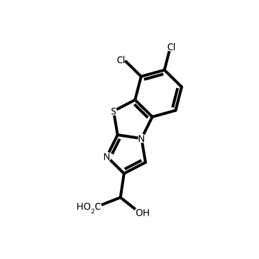 O=C(O)C(O)c1cn2c(n1)sc1c(Cl)c(Cl)ccc12